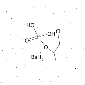 CC(CCl)OP(=O)(O)O.[BaH2]